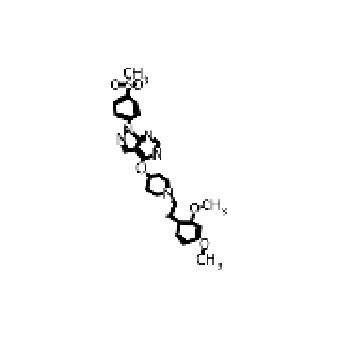 COc1ccc([CH]CN2CCC(Oc3ncnc4c3cnn4-c3ccc(S(C)(=O)=O)cc3)CC2)c(OC)c1